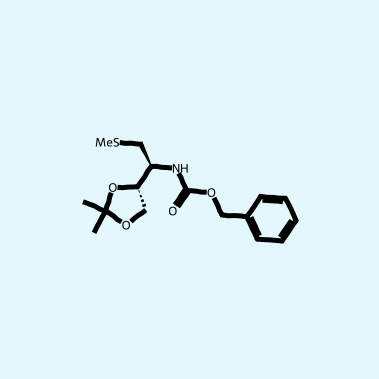 CSC[C@@H](NC(=O)OCc1ccccc1)[C@@H]1COC(C)(C)O1